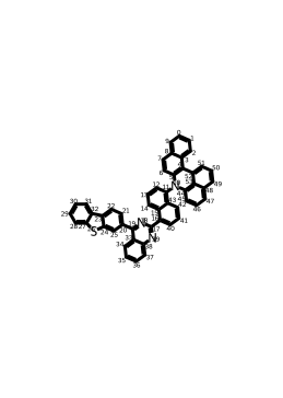 c1ccc2c3c(ccc2c1)N(c1cccc2c(-c4nc(-c5ccc6c(c5)sc5ccccc56)c5ccccc5n4)cccc12)c1cccc2cccc-3c12